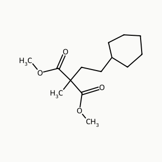 COC(=O)C(C)(CCC1CCCCC1)C(=O)OC